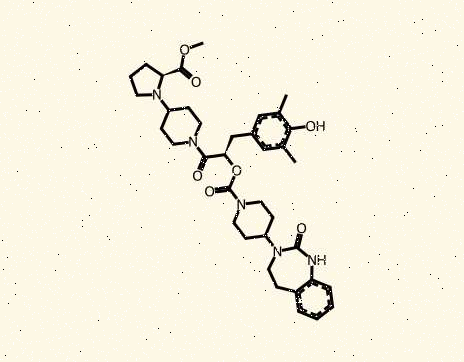 COC(=O)[C@@H]1CCCN1C1CCN(C(=O)[C@@H](Cc2cc(C)c(O)c(C)c2)OC(=O)N2CCC(N3CCc4ccccc4NC3=O)CC2)CC1